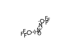 Cc1ccc(C(F)(F)F)cc1N1CCN(C(=O)C23CC2(c2ccc(C(F)(F)F)cc2)C3)CC1